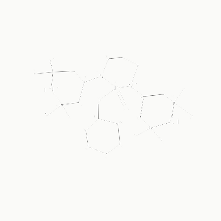 CC1(C)CC(N2CCCN(C3CC(C)(C)NC(C)(C)C3)P2(=O)OC2CCCCC2)CC(C)(C)N1